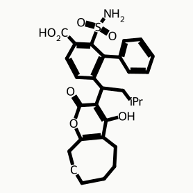 CC(C)CC(c1ccc(C(=O)O)c(S(N)(=O)=O)c1-c1ccccc1)c1c(O)c2c(oc1=O)CCCCCC2